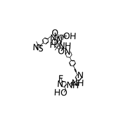 Cc1ncsc1-c1ccc(CNC(=O)[C@@H]2C[C@@H](O)CN2C(=O)[C@@H](NC(=O)CN2CCC(c3ccc(C#Cc4cc(NCNc5cc(F)ncc5CO)ccn4)cc3)CC2)C(C)(C)C)cc1